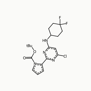 CC(C)(C)OC(=O)n1cccc1-c1nc(Cl)cc(NC2CCC(F)(F)CC2)n1